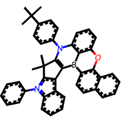 CC(C)(C)c1ccc(N2C3=C(B4c5ccc6ccccc6c5Oc5cccc2c54)c2c(n(-c4ccccc4)c4ccccc24)C3(C)C)cc1